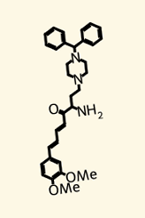 COc1ccc(C=CC=CC(=O)C(N)CCN2CCN(C(c3ccccc3)c3ccccc3)CC2)cc1OC